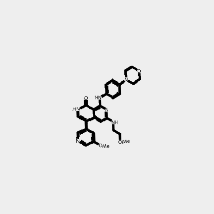 COCCNc1cc2c(-c3cncc(OC)c3)c[nH]c(=O)c2c(Nc2ccc(N3CCOCC3)cc2)n1